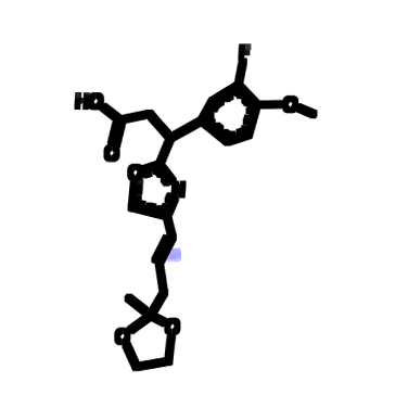 COc1ccc(C(CC(=O)O)c2nc(/C=C/CC3(C)OCCO3)co2)cc1F